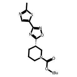 Cc1ncc(-c2noc([C@H]3CCCN(C(=O)OC(C)(C)C)C3)n2)s1